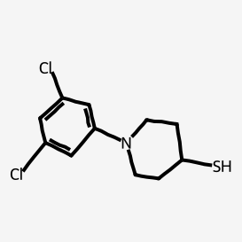 SC1CCN(c2cc(Cl)cc(Cl)c2)CC1